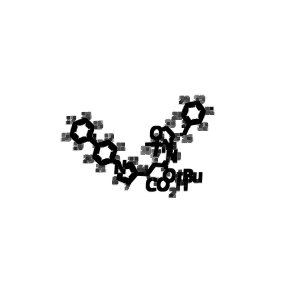 CC(C)(C)OC(C[C@H](C(=O)O)c1ccn(-c2ccc(-c3ccccc3)cc2)c1)=NN1[C@@H](Cc2ccccc2)COC1(C)C